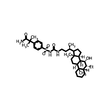 CC[C@H]1[C@@H](O)[C@@H]2[C@H](CC[C@]3(C)C([C@H](C)CCNC(=O)NS(=O)(=O)c4ccc(C(C)(C)C(N)=O)cc4)CC[C@@H]23)[C@@]2(C)CCCC[C@@H]12